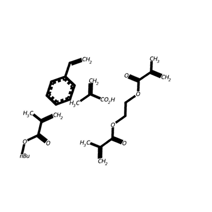 C=C(C)C(=O)O.C=C(C)C(=O)OCCCC.C=C(C)C(=O)OCCOC(=O)C(=C)C.C=Cc1ccccc1